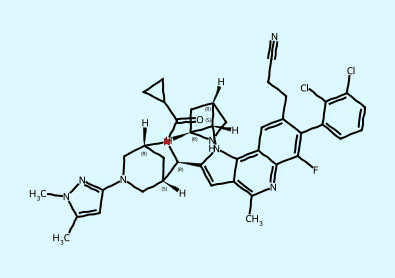 Cc1nc2c(F)c(-c3cccc(Cl)c3Cl)c(CCC#N)cc2c2c1cc([C@H]1[C@H]3C[C@H](CN(c4cc(C)n(C)n4)C3)N1C(=O)C1CC1)n2[C@H]1[C@H]2CN[C@@H]1C2